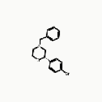 Brc1ccc([C@H]2CN(Cc3ccccc3)CCO2)cc1